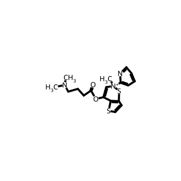 CN(C)CCCC(=O)OC1=C[N+](C)(c2ccccn2)Sc2ccsc21